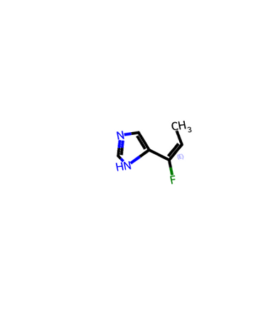 C/C=C(/F)c1cnc[nH]1